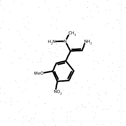 COc1cc(/C(=C/N)N(C)N)ccc1[N+](=O)[O-]